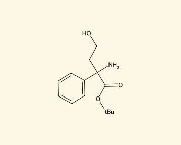 CC(C)(C)OC(=O)C(N)(CCO)c1ccccc1